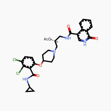 CC(=O)O[C@H](CNC(=O)c1c[nH]c(=O)c2ccccc12)CN1CCC(Oc2ccc(Cl)c(Cl)c2C(=O)NC2CC2)CC1